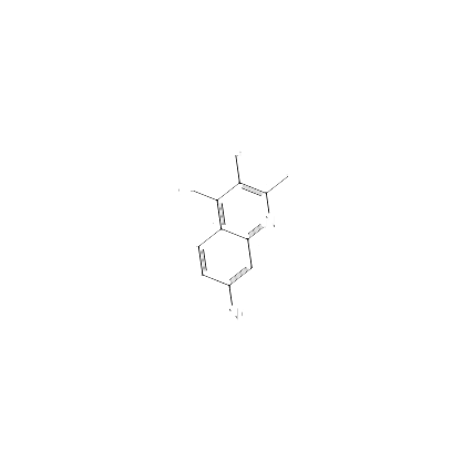 [C-]#[N+]c1ccc2c(Cl)c(C)c(C)nc2c1